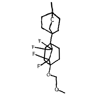 COCOC12CCC(C34CCC(C)(CC3)CC4)(CC1)C(F)(F)C2(F)F